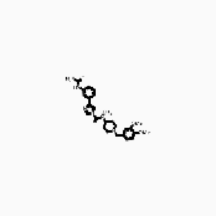 COc1ccc(CN2CCC(N(C)C(=O)n3cnc(-c4cccc(NC(N)=O)c4)c3)CC2)cc1OC